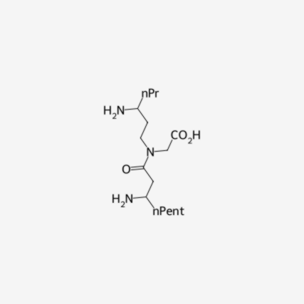 CCCCCC(N)CC(=O)N(CCC(N)CCC)CC(=O)O